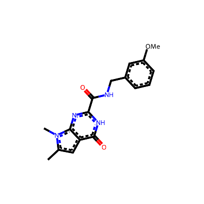 COc1cccc(CNC(=O)c2nc3c(cc(C)n3C)c(=O)[nH]2)c1